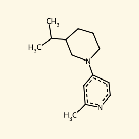 Cc1cc(N2CCCC(C(C)C)C2)ccn1